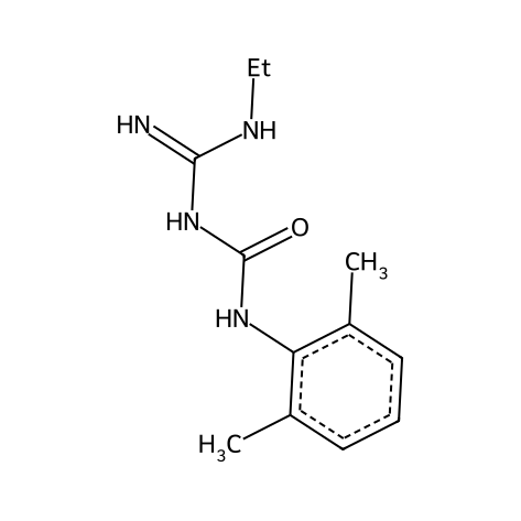 CCNC(=N)NC(=O)Nc1c(C)cccc1C